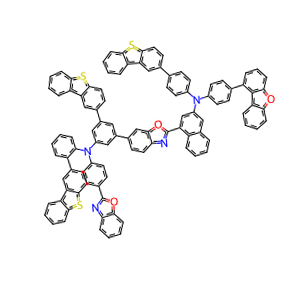 c1ccc(N(c2ccc(-c3nc4ccccc4o3)cc2)c2cc(-c3ccc4nc(-c5cc(N(c6ccc(-c7ccc8sc9ccccc9c8c7)cc6)c6ccc(-c7cccc8oc9ccccc9c78)cc6)cc6ccccc56)oc4c3)cc(-c3ccc4sc5ccccc5c4c3)c2)c(-c2ccc3sc4ccccc4c3c2)c1